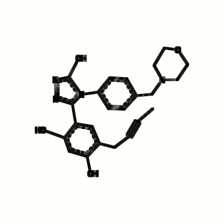 CC#CCc1cc(-c2nnc(O)n2-c2ccc(CN3CCOCC3)cc2)c(O)cc1O